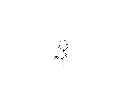 [CH2]C(O)On1cccc1